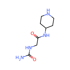 NC(=O)NCC(=O)NC1CCNCC1